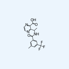 Cc1cc(C(=O)NC(C)c2nccnc2C(=O)O)cc(C(F)(F)F)c1